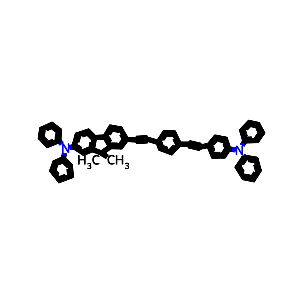 CC1(C)c2cc(C#Cc3ccc(C#Cc4ccc(N(c5ccccc5)c5ccccc5)cc4)cc3)ccc2-c2ccc(N(c3ccccc3)c3ccccc3)cc21